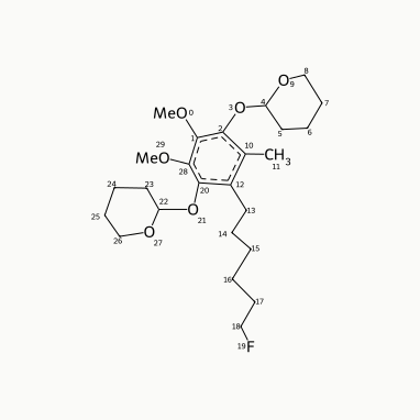 COc1c(OC2CCCCO2)c(C)c(CCCCCCF)c(OC2CCCCO2)c1OC